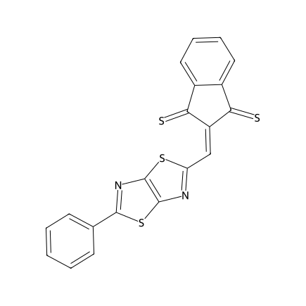 S=C1C(=Cc2nc3sc(-c4ccccc4)nc3s2)C(=S)c2ccccc21